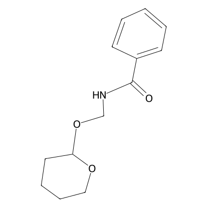 O=C(NCOC1CCCCO1)c1ccccc1